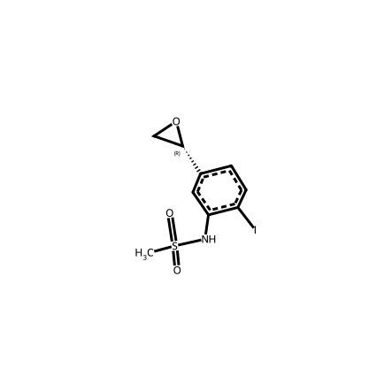 CS(=O)(=O)Nc1cc([C@@H]2CO2)ccc1I